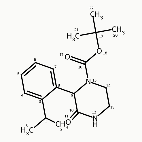 CC(C)c1ccccc1C1C(=O)NCCN1C(=O)OC(C)(C)C